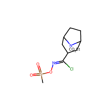 CCOC(=O)N1C2CCC1CC(C(Cl)=NOS(C)(=O)=O)C2